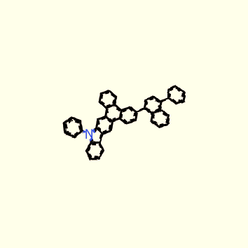 c1ccc(-c2ccc(-c3ccc4c(c3)c3ccccc3c3cc5c(cc43)c3ccccc3n5-c3ccccc3)c3ccccc23)cc1